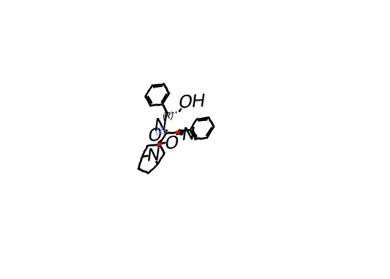 N#C/C(=N\[C@@H](CO)c1ccccc1)C1CC2CCC(C1)N2C(=O)OCc1ccccc1